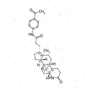 CC(=O)c1ccc(NC(=O)CC[C@H]2CC[C@H]3[C@@H]4CC[C@H]5NC(=O)CC[C@]5(C)[C@H]4CC[C@]23C)cc1